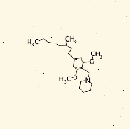 CCCCCC(C)CCc1cc(OC)c(CN2CCCCC2)c(OC)c1